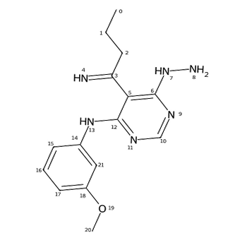 CCCC(=N)c1c(NN)ncnc1Nc1cccc(OC)c1